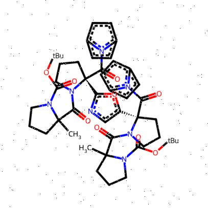 CC(C)(C)OC(=O)N1CCCC1(C)C(=O)N1CCC[C@@]1(C(=O)n1c2ccc1cc2)c1cnc([C@]2(C(=O)n3c4ccc3cc4)CCCN2C(=O)C2(C)CCCN2C(=O)OC(C)(C)C)o1